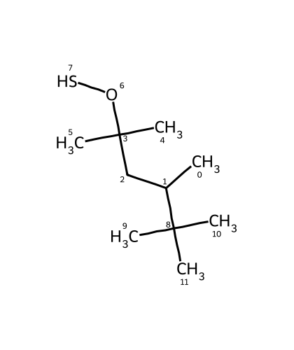 CC(CC(C)(C)OS)C(C)(C)C